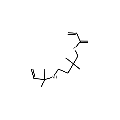 C=CC(=C)SCC(C)(C)CCNC(C)(C)C=C